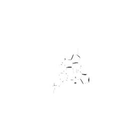 C[C@@H](Nc1ccccc1S(C)(=O)=O)c1cc(F)cc2c(=O)n(C)c(N3CCN(CC(F)(F)F)CC3)c(F)c12